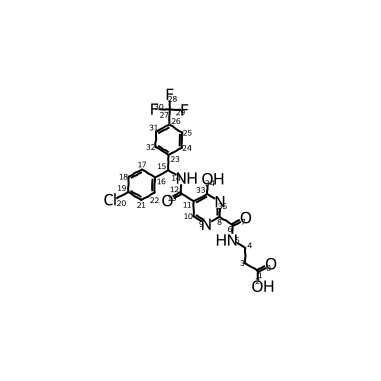 O=C(O)CCNC(=O)c1ncc(C(=O)NC(c2ccc(Cl)cc2)c2ccc(C(F)(F)F)cc2)c(O)n1